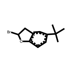 CC(C)(C)c1ccc2c(c1)CC(Br)O2